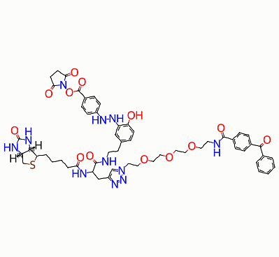 O=C(CCCCC1SC[C@@H]2NC(=O)N[C@H]12)NC(Cc1cn(CCOCCOCCOCCNC(=O)c2ccc(C(=O)c3ccccc3)cc2)nn1)C(=O)NCCc1ccc(O)c(NNc2ccc(C(=O)ON3C(=O)CCC3=O)cc2)c1